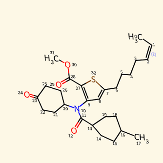 C/C=C\CCCCc1cc(N(C(=O)C2CCC(C)CC2)C2CCC(=O)CC2)c(C(=O)OC)s1